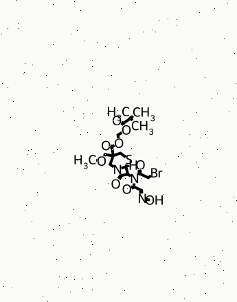 COCC1(C(=O)OCOC(=O)C(C)(C)C)CS[C@@H]2C(N(C(=O)C=NO)C(=O)CBr)C(=O)N2C1